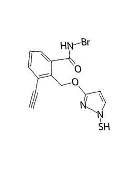 C#Cc1cccc(C(=O)NBr)c1COc1ccn(S)n1